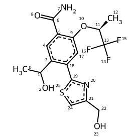 CC(O)c1cc(C(N)=O)c(O[C@@H](C)C(F)(F)F)cc1-c1nc(CO)cs1